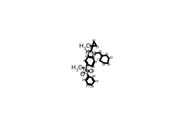 CN(c1ccc2c(c1)nc(C1(C)CC1)n2CC1CCCCC1)S(=O)(=O)c1ccccc1